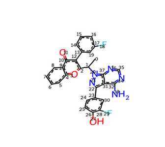 CC(c1oc2ccccc2c(=O)c1-c1cccc(F)c1)n1nc(-c2ccc(O)c(F)c2)c2c(N)ncnc21